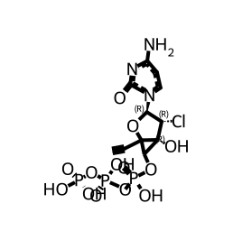 C#CC12O[C@@H](n3ccc(N)nc3=O)[C@H](Cl)[C@@]1(O)C2OP(=O)(O)OP(=O)(O)OP(=O)(O)O